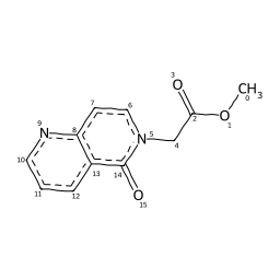 COC(=O)Cn1ccc2ncccc2c1=O